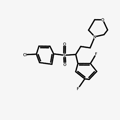 O=S(=O)(c1ccc(Cl)cc1)C(CCN1CCOCC1)c1cc(F)ccc1F